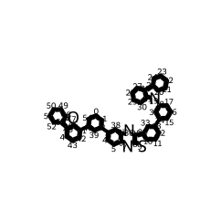 c1cc(-c2ccc3nc4sc5ccc(-c6cccc(-n7c8ccccc8c8ccccc87)c6)cc5c4nc3c2)cc(-c2cccc3c2oc2ccccc23)c1